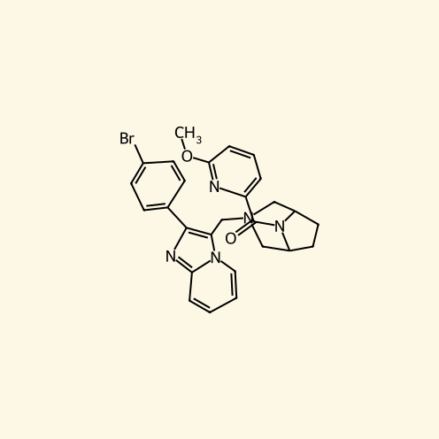 COc1cccc(C(=O)N2C3CCC2CN(Cc2c(-c4ccc(Br)cc4)nc4ccccn24)C3)n1